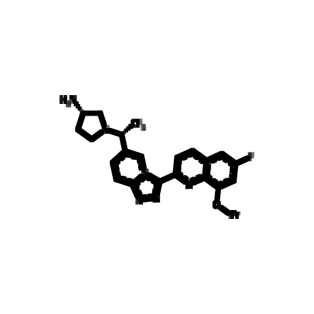 CC(C)Oc1cc(F)cc2ccc(-c3nnc4ccc([C@H](N5CC[C@H](N)C5)C(F)(F)F)cn34)nc12